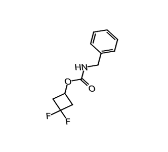 O=C(NCc1ccccc1)OC1CC(F)(F)C1